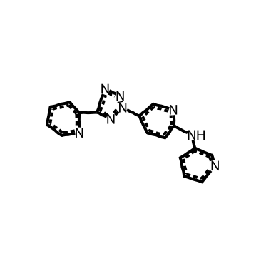 c1ccc(-c2nnn(-c3ccc(Nc4cccnc4)nc3)n2)nc1